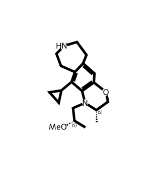 CO[C@@H](C)CN1c2c(cc3c(c2C2CC2)CCNCC3)OC[C@@H]1C